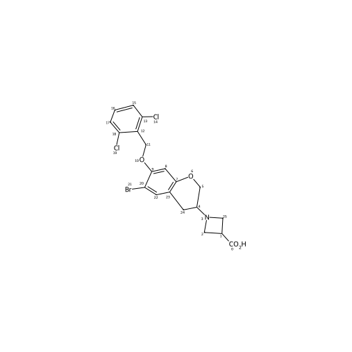 O=C(O)C1CN(C2COc3cc(OCc4c(Cl)cccc4Cl)c(Br)cc3C2)C1